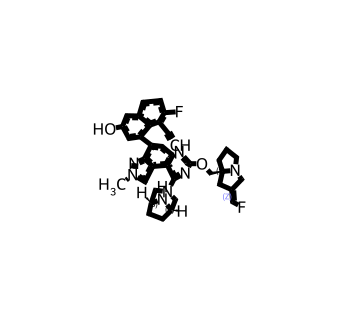 C#Cc1c(F)ccc2cc(O)cc(-c3cc4nc(OC[C@@]56CCCN5C/C(=C\F)C6)nc(N5C[C@H]6CC[C@@H](C5)N6)c4c4cn(C)nc34)c12